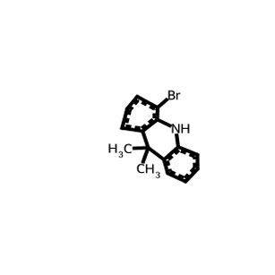 CC1(C)c2ccccc2Nc2c(Br)cccc21